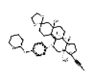 CC#C[C@]1(O)CC[C@H]2[C@@H]3CCC4(O)CC5(CCC4=C3[C@@H](c3ccc(OC4CCCCO4)cc3)C[C@@]21C)OCCO5